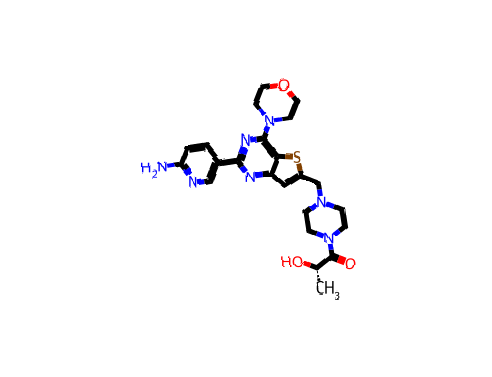 C[C@H](O)C(=O)N1CCN(Cc2cc3nc(-c4ccc(N)nc4)nc(N4CCOCC4)c3s2)CC1